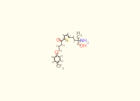 CC(N)(CO)CCc1ccc(C(=O)CCCOc2ccc(C(F)(F)F)cc2)s1